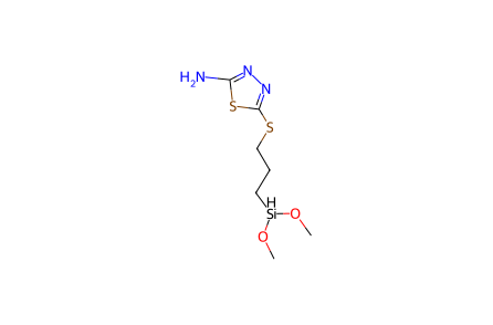 CO[SiH](CCCSc1nnc(N)s1)OC